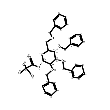 N=C(O[C@@H]1OC(COCc2ccccc2)[C@H](OCc2ccccc2)[C@@H](OCc2ccccc2)C1OCc1ccccc1)C(Cl)(Cl)Cl